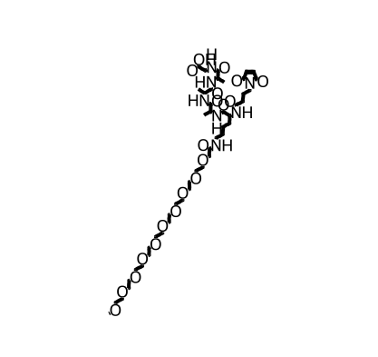 COCCOCCOCCOCCOCCOCCOCCOCCOCCOCC(=O)NCCCCC(NC(=O)CCCN1C(=O)C=CC1=O)C(=O)NC(C)C(=O)NC(C)C(=O)NC(C)C(=O)NCC(=O)O